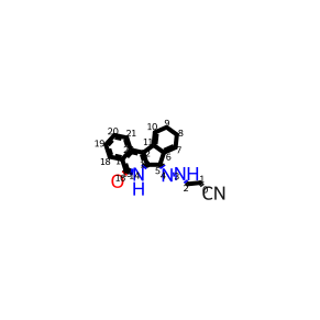 N#CCCN/N=C1\C2=CCCC=C2c2c1[nH]c(=O)c1ccccc21